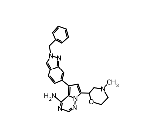 CN1CCOC(c2cc(-c3ccc4cn(Cc5ccccc5)nc4c3)c3c(N)ncnn23)C1